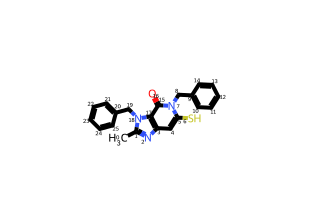 Cc1nc2cc(S)n(Cc3ccccc3)c(=O)c2n1Cc1ccccc1